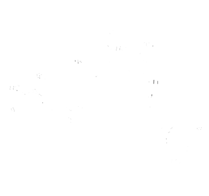 CC(C)(C)c1cc(CCC(=O)OCCCCCCOC(=O)CCc2cc(C(C)(C)C)c(O)c(C(C)(C)C)c2)cc(C(C)(C)C)c1O.Cc1cc(Cc2cc(C)cc(C(C)(C)C)c2O)c(O)c(C(C)(C)C)c1